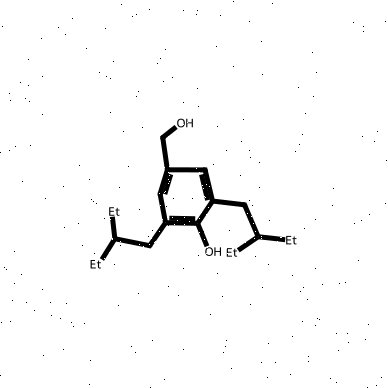 CCC(CC)Cc1cc(CO)cc(CC(CC)CC)c1O